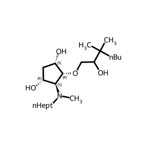 CCCCCCCN(C)[C@@H]1[C@@H](OCC(O)C(C)(C)CCCC)[C@@H](O)C[C@H]1O